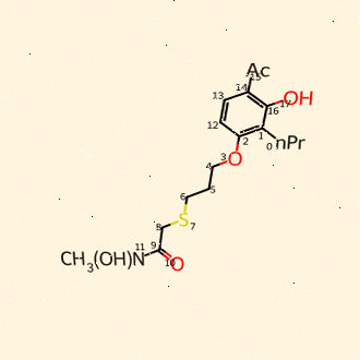 CCCc1c(OCCCSCC(=O)N(C)O)ccc(C(C)=O)c1O